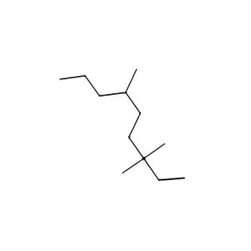 [CH2]CC(C)(C)CCC(C)CCC